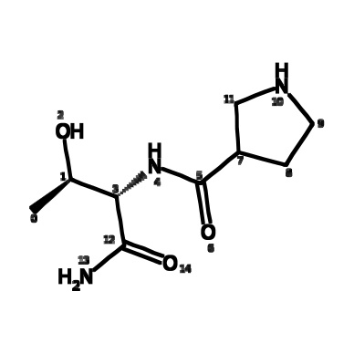 C[C@@H](O)[C@H](NC(=O)C1CCNC1)C(N)=O